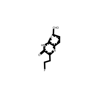 O=Cc1ccc2nc(CCF)c(=O)[nH]c2c1